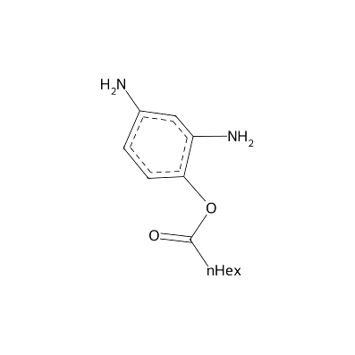 CCCCCCC(=O)Oc1ccc(N)cc1N